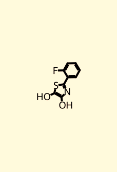 Oc1nc(-c2ccccc2F)sc1O